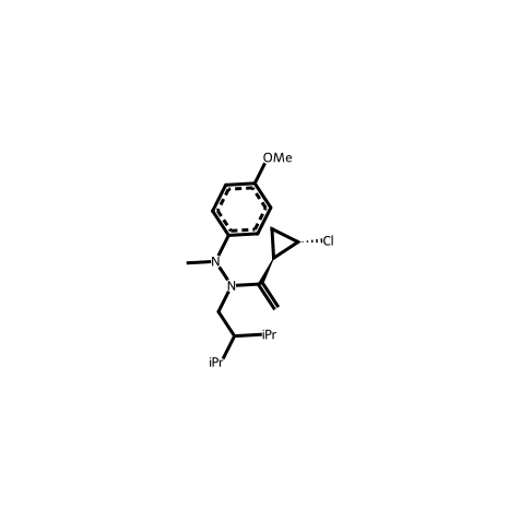 C=C([C@H]1C[C@@H]1Cl)N(CC(C(C)C)C(C)C)N(C)c1ccc(OC)cc1